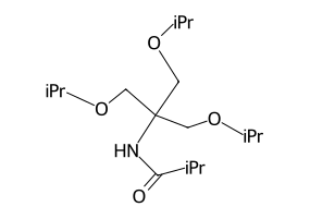 CC(C)OCC(COC(C)C)(COC(C)C)NC(=O)C(C)C